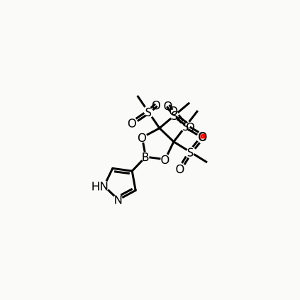 CS(=O)(=O)C1(S(C)(=O)=O)OB(c2cn[nH]c2)OC1(S(C)(=O)=O)S(C)(=O)=O